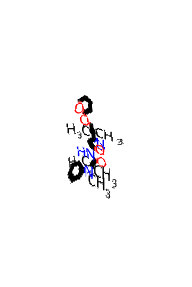 CN(C1CCCCC1)C(C)(C)C(=O)Nc1cc(C(C)(C)COC2CCCCO2)no1